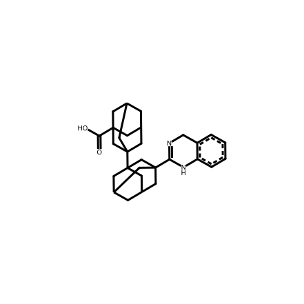 O=C(O)C12CC3CC(C1)CC(C14CC5CC(CC(C6=NCc7ccccc7N6)(C5)C1)C4)(C3)C2